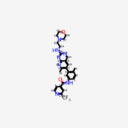 Cc1ccc(NC(=O)c2ccnc(C(F)(F)F)c2)cc1-c1cc2cnc(NCCN3CCOCC3)nc2nc1C